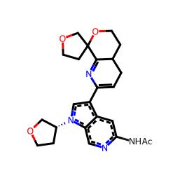 CC(=O)Nc1cc2c(C3=CCC4CCOC5(CCOC5)C4=N3)cn([C@@H]3CCOC3)c2cn1